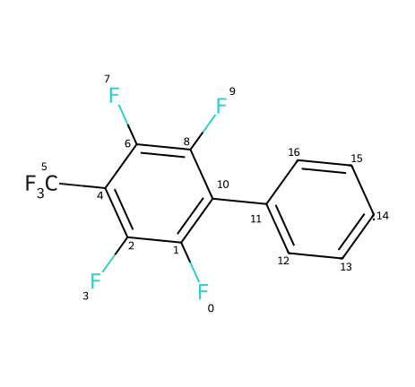 Fc1c(F)c(C(F)(F)F)c(F)c(F)c1-c1cc[c]cc1